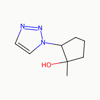 CC1(O)CCCC1n1ccnn1